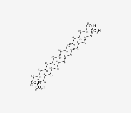 O=C(O)CC=CCC=CCC=CCCCCCCCC(=O)O.O=C(O)CCCCC=CCC=CCCCCCCCC(=O)O